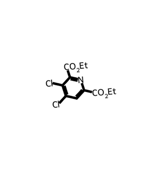 CCOC(=O)c1cc(Cl)c(Cl)c(C(=O)OCC)n1